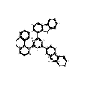 Cc1ccccc1-c1c(C)cccc1-c1nc(-c2ccc3c4c(sc3c2)CCC=C4)nc(-c2cccc3c2Cc2ccccc2-3)n1